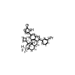 CC(C)c1ccnc(-c2nc3nc(-c4noc(=O)[nH]4)nc(N[C@H](C)C4CCC4)c3n2CC2CCC(C(F)(F)F)CC2)c1